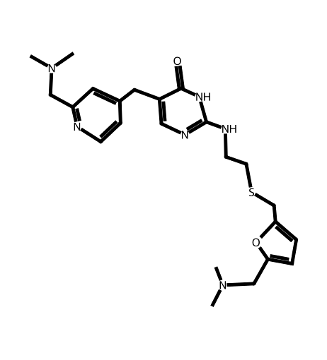 CN(C)Cc1cc(Cc2cnc(NCCSCc3ccc(CN(C)C)o3)[nH]c2=O)ccn1